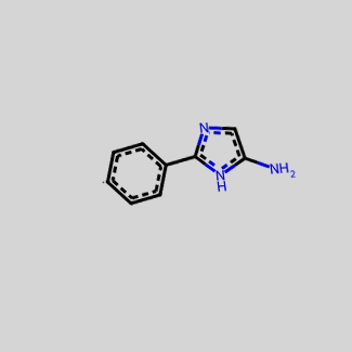 Nc1cnc(-c2cc[c]cc2)[nH]1